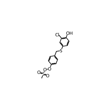 CS(=O)(=O)OOc1ccc(CSc2ccc(O)c(Cl)c2)cc1